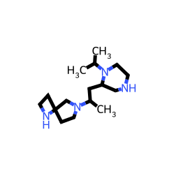 CC(CC1CNCCN1C(C)C)N1CCC2(CCN2)C1